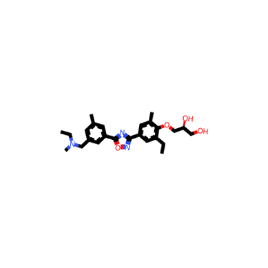 CCc1cc(-c2noc(-c3cc(C)cc(CN(C)CC)c3)n2)cc(C)c1OC[C@@H](O)CO